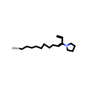 C=CC(=CCCCCCCCCCCCCCCCCCC)N1CCCC1